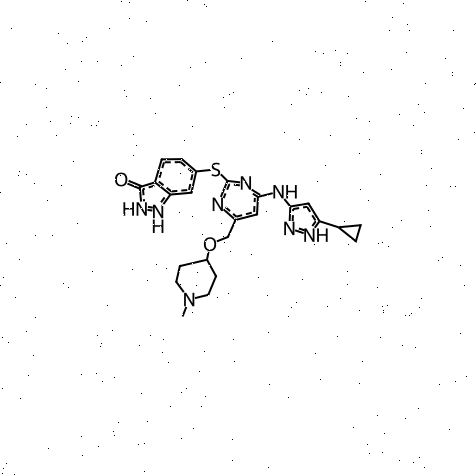 CN1CCC(OCc2cc(Nc3cc(C4CC4)[nH]n3)nc(Sc3ccc4c(=O)[nH][nH]c4c3)n2)CC1